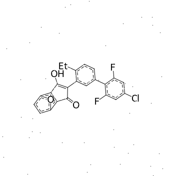 CCc1ccc(-c2c(F)cc(Cl)cc2F)cc1C1=C(O)c2c(c3ccc2o3)C1=O